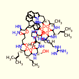 C=CC[C@H](CC(=O)[C@H](CC=C(C)C)NC(=O)CCC(=O)OCC1c2ccccc2-c2ccccc21)C(=O)N[C@@H](CO)C(=O)N[C@@H](CC(=O)O)C(=O)N1CCCC1C(=O)N[C@@H](CCCNC(=N)N)C(=O)N[C@@H](CC=C(C)C)C(=O)N[C@@H](C)C(=O)C[C@@H](Cc1cc2ccccc2[nH]1)C(=O)N[C@@H](CCCCC(=N)N)C(=O)N[C@@H](CC=C)C(N)=O